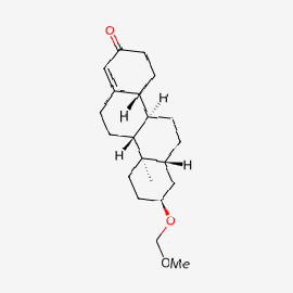 COCO[C@H]1CC[C@]2(C)[C@H](CC[C@H]3[C@H]2CCC2=CC(=O)CC[C@@H]23)C1